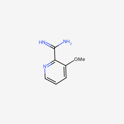 COc1cccnc1C(=N)N